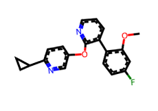 COc1cc(F)ccc1-c1cccnc1Oc1ccc(C2CC2)nc1